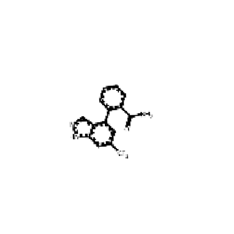 NC(=O)c1ccccc1-c1cc(C(F)(F)F)cc2[nH]ncc12